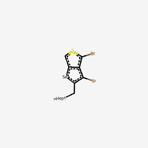 CCCCCCCCc1[se]c2csc(Br)c2c1Br